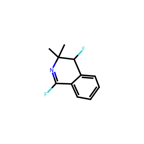 CC1(C)N=C(F)c2ccccc2C1F